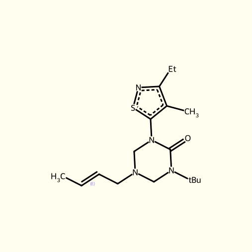 C/C=C/CN1CN(c2snc(CC)c2C)C(=O)N(C(C)(C)C)C1